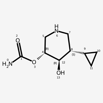 NC(=O)O[C@@H]1CNC[C@H](C2CC2)[C@H]1O